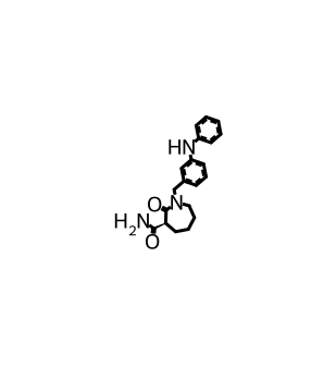 NC(=O)[C@@H]1CCCCN(Cc2cccc(Nc3ccccc3)c2)C1=O